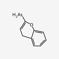 [AsH2]C1=CCc2ccccc2O1